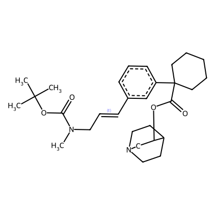 CN(C/C=C/c1cccc(C2(C(=O)OC3CN4CCC3CC4)CCCCC2)c1)C(=O)OC(C)(C)C